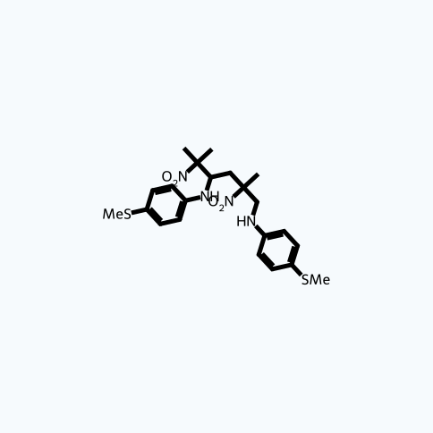 CSc1ccc(NCC(C)(CC(Nc2ccc(SC)cc2)C(C)(C)[N+](=O)[O-])[N+](=O)[O-])cc1